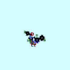 CCS(=O)(=O)N[C@@H]1[C@H](Cc2cccc(-c3cccc(F)c3)c2F)N(C(=O)C2CC(F)C2)CC1(F)F